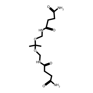 CC(C)(OCNC(=O)CCC(N)=O)OCNC(=O)CCC(N)=O